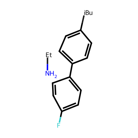 CCC(C)c1ccc(-c2ccc(F)cc2)cc1.CCN